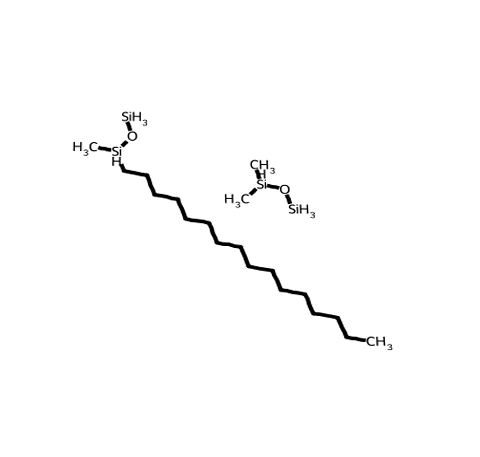 CCCCCCCCCCCCCCCC[SiH](C)O[SiH3].C[SiH](C)O[SiH3]